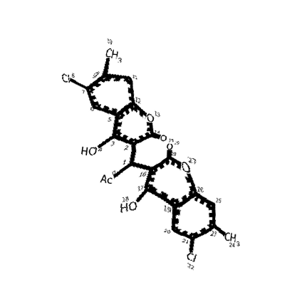 CC(=O)C(c1c(O)c2cc(Cl)c(C)cc2oc1=O)c1c(O)c2cc(Cl)c(C)cc2oc1=O